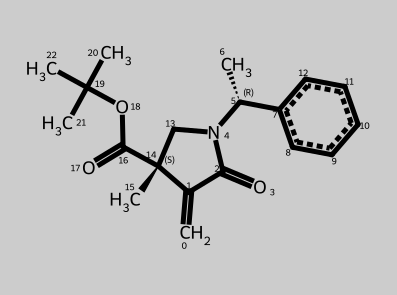 C=C1C(=O)N([C@H](C)c2ccccc2)C[C@@]1(C)C(=O)OC(C)(C)C